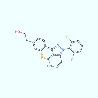 OCCc1ccc2c(c1)pc1c3c(n(-c4c(F)cccc4F)nc32)C=CN1